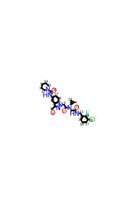 O=Cc1nn(CC(=O)N(CC(=O)NCc2cccc(Cl)c2F)C2CC2)c2ccc(NC(=O)N3CCCCC3)cc12